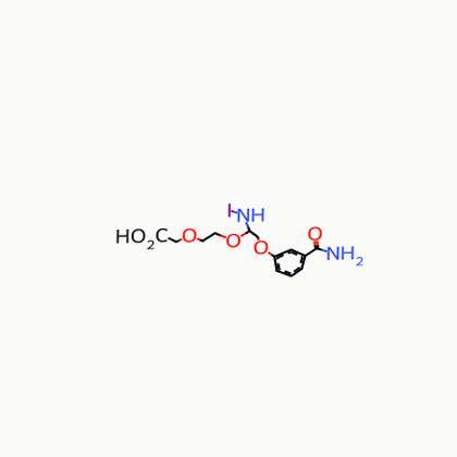 NC(=O)c1cccc(OCC(NI)OCCOCC(=O)O)c1